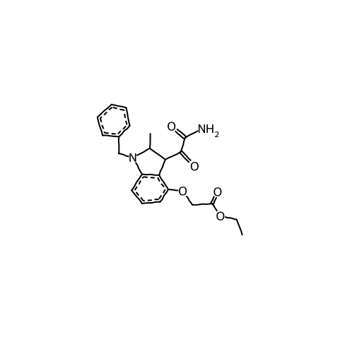 CCOC(=O)COc1cccc2c1C(C(=O)C(N)=O)C(C)N2Cc1ccccc1